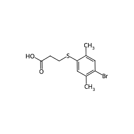 Cc1cc(SCCC(=O)O)c(C)cc1Br